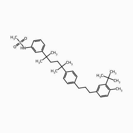 Cc1ccc(CCCc2ccc(C(C)(C)CCC(C)(C)c3cccc(NS(C)(=O)=O)c3)cc2)cc1C(C)(C)C